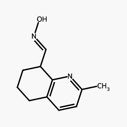 Cc1ccc2c(n1)C(C=NO)CCC2